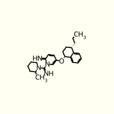 CCC[C@H]1CC[C@@H](Oc2ccc(=N)n(C(=N)N3CCCCC3C)c2)c2ccccc21